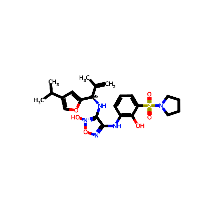 C=C(C)[C@@H](Nc1c(Nc2cccc(S(=O)(=O)N3CCCC3)c2O)no[n+]1O)c1cc(C(C)C)co1